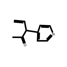 C=CC(C(C)=O)c1ccncc1